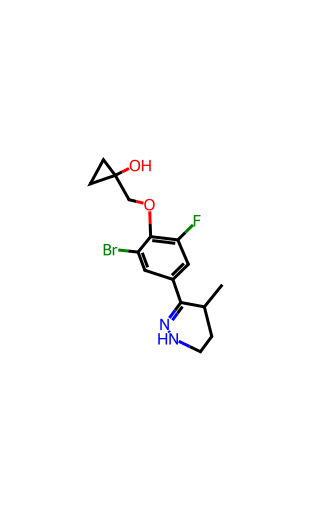 CC1CCNN=C1c1cc(F)c(OCC2(O)CC2)c(Br)c1